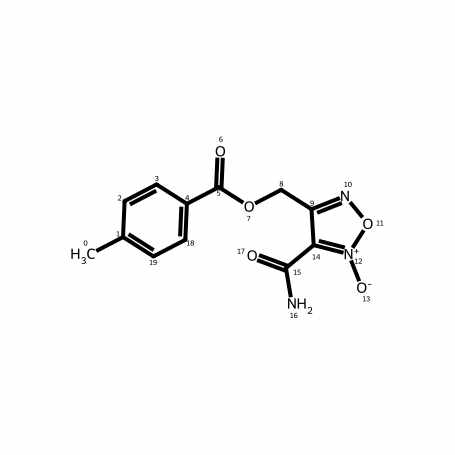 Cc1ccc(C(=O)OCc2no[n+]([O-])c2C(N)=O)cc1